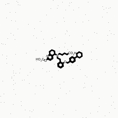 O=C(O)CCCCN(CCc1ccccc1OCc1ccc(C2CCCCC2)cc1)C1CCCc2nc(OC(=O)O)ccc21